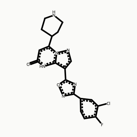 O=c1cc(C2CCNCC2)n2ncc(-c3nc(-c4ccc(F)c(Cl)c4)no3)c2[nH]1